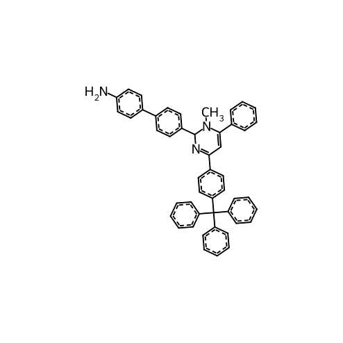 CN1C(c2ccccc2)=CC(c2ccc(C(c3ccccc3)(c3ccccc3)c3ccccc3)cc2)=NC1c1ccc(-c2ccc(N)cc2)cc1